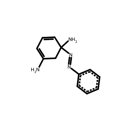 NC1=CC=CC(N)(N=Nc2ccccc2)C1